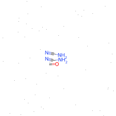 C=O.N#CN.N#CN